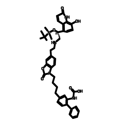 CC(C)(C)[Si](C)(C)O[C@@H](CNCCc1ccc2c(c1)oc(=O)n2CCCCc1ccc(-c2ccccc2)c(NC(=O)O)c1)c1ccc(O)c2[nH]c(=O)ccc12